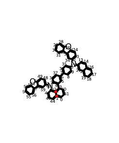 c1ccc(-c2cc(-c3ccc(N(c4ccc5ccccc5c4)c4ccc5oc6ccccc6c5c4)cc3)ccc2N(c2ccccc2)c2ccc3oc4ccccc4c3c2)cc1